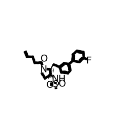 C=CCCC(=O)N1CC[C@H](NS(C)(=O)=O)[C@@H]1Cc1cccc(-c2cccc(F)c2)c1